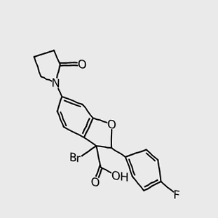 O=C1CCCN1c1ccc2c(c1)OC(c1ccc(F)cc1)C2(Br)C(=O)O